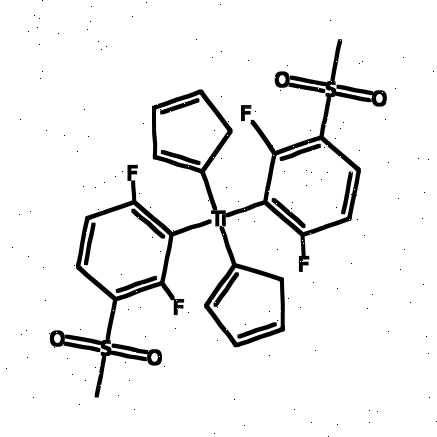 CS(=O)(=O)c1ccc(F)[c]([Ti]([C]2=CC=CC2)([C]2=CC=CC2)[c]2c(F)ccc(S(C)(=O)=O)c2F)c1F